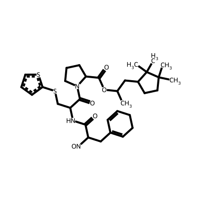 CC(CC1CCC(C)(C)C1(C)C)OC(=O)C1CCCN1C(=O)C(CSc1cccs1)NC(=O)C(CC1=CCCC=C1)N=O